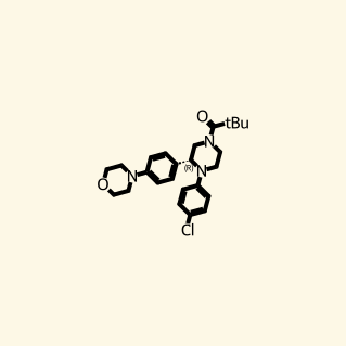 CC(C)(C)C(=O)N1CCN(c2ccc(Cl)cc2)[C@H](c2ccc(N3CCOCC3)cc2)C1